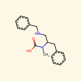 CN(C(=O)O)C(CNCc1ccccc1)Cc1ccccc1